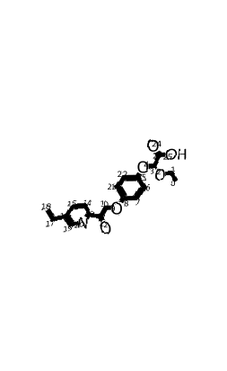 CCO[C@H](Oc1ccc(OCC(=O)c2ccc(CC)cn2)cc1)C(=O)O